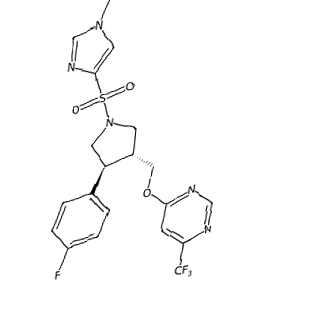 Cn1cnc(S(=O)(=O)N2C[C@H](COc3cc(C(F)(F)F)ncn3)[C@@H](c3ccc(F)cc3)C2)c1